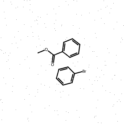 Brc1ccccc1.COC(=O)c1ccccc1